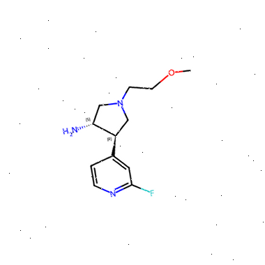 COCCN1C[C@@H](N)[C@H](c2ccnc(F)c2)C1